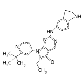 CCn1c(=O)c2cnc(Nc3ccc4c(c3)CCN4)nc2n1-c1ccnc(C(C)(C)C)c1